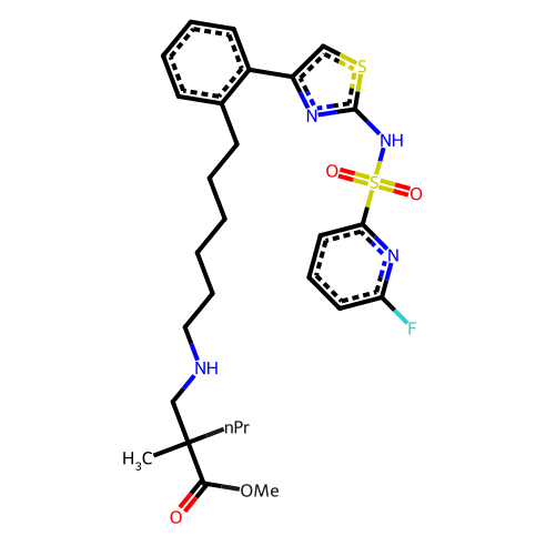 CCCC(C)(CNCCCCCCc1ccccc1-c1csc(NS(=O)(=O)c2cccc(F)n2)n1)C(=O)OC